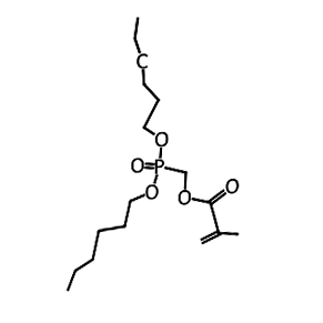 C=C(C)C(=O)OCP(=O)(OCCCCCC)OCCCCCC